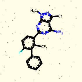 CCc1nn(C)c2nc(-c3ccc(F)c(-c4ccccc4)c3C(F)(F)F)nc(N)c12